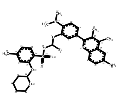 CCC(Oc1cc(-c2nc3ccc(N)cc3c(C)c2C)ccc1N(C)C)OS(=O)(=O)c1ccc(C)cc1OC1CCCCO1